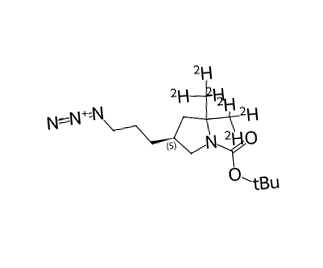 [2H]C([2H])([2H])C1(C([2H])([2H])[2H])C[C@H](CCCN=[N+]=[N-])CN1C(=O)OC(C)(C)C